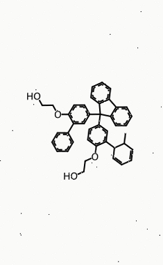 CC1C=CC=CC1c1cc(C2(c3ccc(OCCO)c(-c4ccccc4)c3)c3ccccc3-c3ccccc32)ccc1OCCO